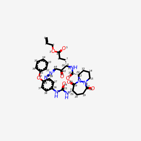 C=CCOC(=O)CC[C@H](NC(=O)[C@@H]1CCCN2C(=O)CC[C@H](NC(=O)Nc3ccc(Oc4ccccc4)cc3)C(=O)N12)C(=O)C=[N+]=[N-]